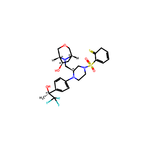 C[C@](O)(c1ccc(N2CCN(S(=O)(=O)C3=CC=CCC3=S)C[C@@H]2CN2[C@@H]3COC[C@H]2[C@H](O)C3)cc1)C(F)(F)F